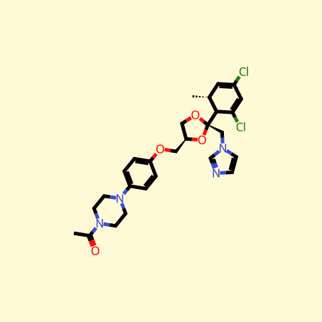 CC(=O)N1CCN(c2ccc(OC[C@H]3CO[C@](Cn4ccnc4)(C4C(Cl)=CC(Cl)=C[C@H]4C)O3)cc2)CC1